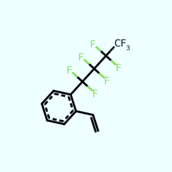 C=Cc1ccccc1C(F)(F)C(F)(F)C(F)(F)C(F)(F)F